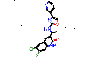 CC(Nc1nc(-c2cccnc2)co1)c1cc2cc(Cl)c(F)cc2[nH]c1=O